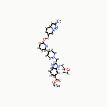 CCc1cc2ccc(COc3cccc(C4=CCN(Cc5nc6ccc(C(=O)OC(C)(C)C)cc6n5C[C@@H]5CCO5)C=C4)n3)cn2n1